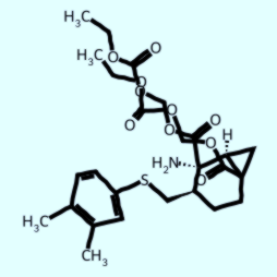 CCOC(=O)OCOC(=O)C12CC[C@@H](CSc3ccc(C)c(C)c3)[C@@](N)(C(=O)OCOC(=O)OCC)[C@H]1C2